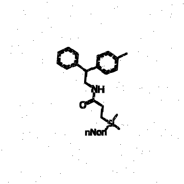 CCCCCCCCC[Si](C)(C)CCC(=O)NCC(c1ccccc1)c1ccc(C)cc1